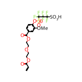 C=CC(=O)OCCOCCOC(=O)c1ccc(OS(=O)(=O)C(F)(F)C(F)(F)C(F)(F)S(=O)(=O)O)c(OC)c1